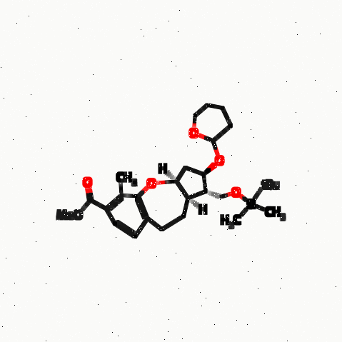 COC(=O)c1ccc2c(c1C)O[C@H]1C[C@@H](OC3CCCCO3)[C@H](CO[Si](C)(C)C(C)(C)C)[C@H]1CC2